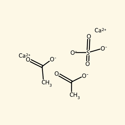 CC(=O)[O-].CC(=O)[O-].O=S(=O)([O-])[O-].[Ca+2].[Ca+2]